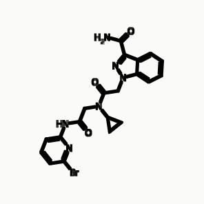 NC(=O)c1nn(CC(=O)N(CC(=O)Nc2cccc(Br)n2)C2CC2)c2ccccc12